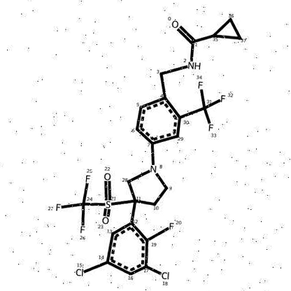 O=C(NCc1ccc(N2CCC(c3cc(Cl)cc(Cl)c3F)(S(=O)(=O)C(F)(F)F)C2)cc1C(F)(F)F)C1CC1